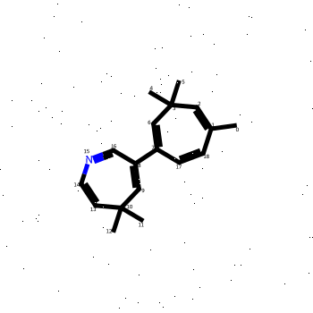 CC1=CC(C)(C)C=C(C2=CC(C)(C)C=CN=C2)C=C1